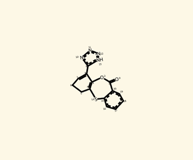 O=C1OC2=C(CCC=C2c2nnn[nH]2)Sc2ccccc21